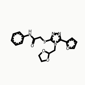 O=C(CSc1nnc(-c2ccco2)n1CC1OCCO1)Nc1ccccc1